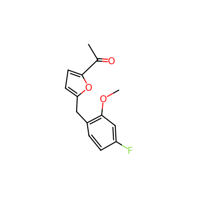 COc1cc(F)ccc1Cc1ccc(C(C)=O)o1